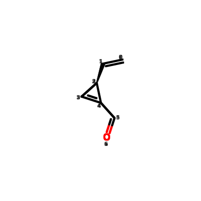 C=C[C@@H]1C=C1C=O